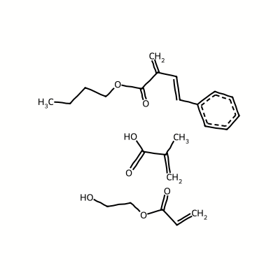 C=C(C)C(=O)O.C=C(C=Cc1ccccc1)C(=O)OCCCC.C=CC(=O)OCCO